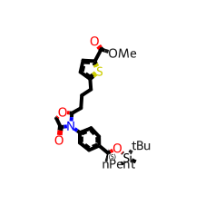 CCCCC[C@H](O[Si](C)(C)C(C)(C)C)c1ccc(N2C(=O)COC2CCCc2ccc(C(=O)OC)s2)cc1